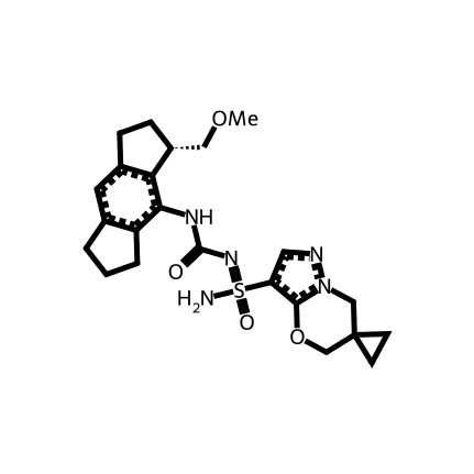 COC[C@H]1CCc2cc3c(c(NC(=O)N=S(N)(=O)c4cnn5c4OCC4(CC4)C5)c21)CCC3